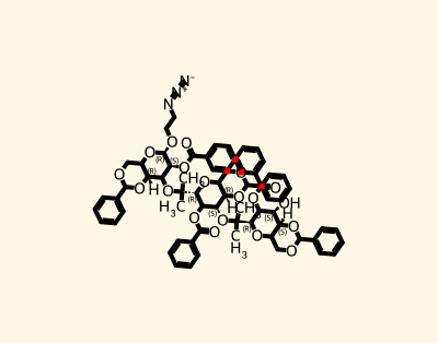 CC(C)(O[C@@H]1C(OC(=O)c2ccccc2)[C@H](C(C)(C)OC2[C@@H]3OC(c4ccccc4)OCC3O[C@@H](OCCN=[N+]=[N-])[C@H]2OC(=O)c2ccccc2)OC2COC(c3ccccc3)O[C@H]21)[C@@H]1OC2COC(c3ccccc3)O[C@H]2[C@H](O)C1OC(=O)c1ccccc1